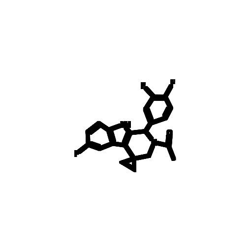 CC(=O)N1CC2(CC2)c2c([nH]c3ccc(F)cc23)C1c1ccc(F)c(F)c1